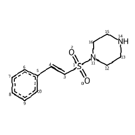 O=S(=O)(C=Cc1ccccc1)N1CCNCC1